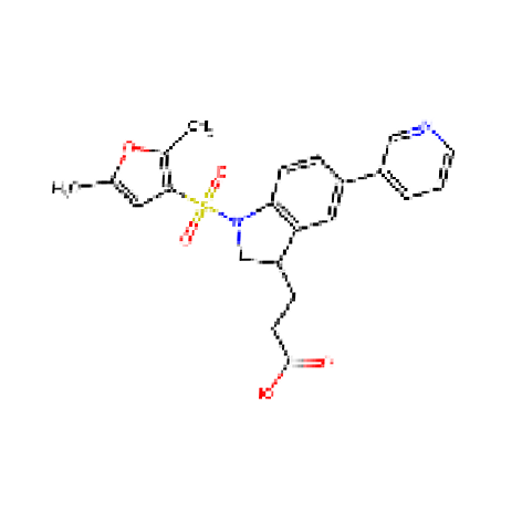 Cc1cc(S(=O)(=O)N2CC(CCC(=O)O)c3cc(-c4cccnc4)ccc32)c(C)o1